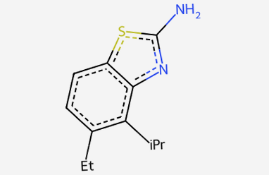 CCc1ccc2sc(N)nc2c1C(C)C